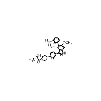 COc1cc2[nH]nc(-c3ccc(C4CCN(C(=O)[C@H](C)O)CC4)nc3)c2nc1-c1cccc(C)c1C